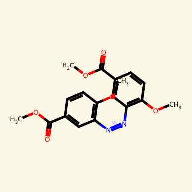 COC(=O)c1ccc(OC)c(/N=N\c2cc(C(=O)OC)ccc2OC)c1